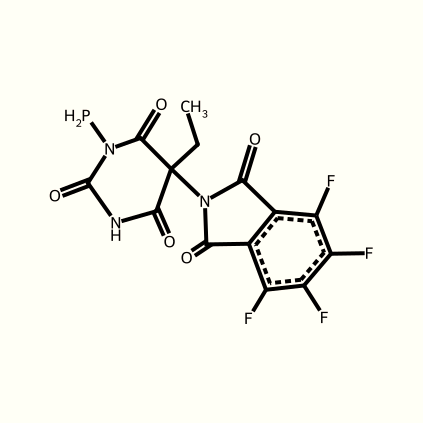 CCC1(N2C(=O)c3c(F)c(F)c(F)c(F)c3C2=O)C(=O)NC(=O)N(P)C1=O